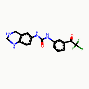 O=C(Nc1cccc(C(=O)C(F)(F)F)c1)Nc1ccc2c(c1)CNCN2